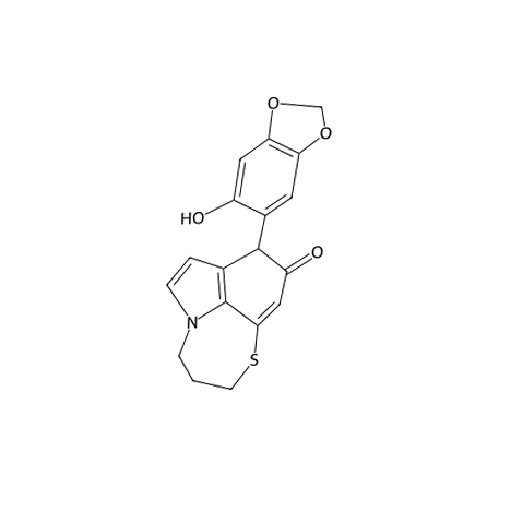 O=C1C=C2SCCCn3ccc(c32)C1c1cc2c(cc1O)OCO2